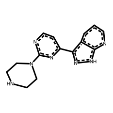 c1cnc2[nH]nc(-c3ccnc(N4CCNCC4)n3)c2c1